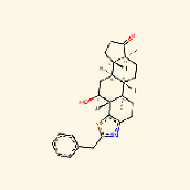 C[C@]12CCc3nc(Cc4ccccc4)sc3[C@@H]1[C@@H](O)C[C@@H]1[C@@H]2CC[C@]2(C)C(=O)CC[C@@H]12